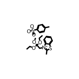 CCOC(C[n+]1c(C)sc2ccccc21)(OC)OCC.Cc1ccc(S(=O)(=O)[O-])cc1